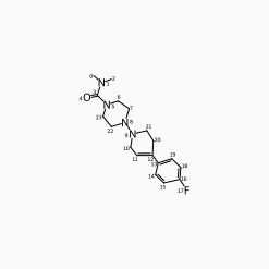 CN(C)C(=O)N1CCN(N2CC=C(c3ccc(F)cc3)CC2)CC1